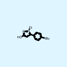 CCn1nc(O)cc1-c1ccc(C(C)(C)C)cc1